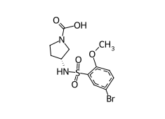 COc1ccc(Br)cc1S(=O)(=O)N[C@@H]1CCN(C(=O)O)C1